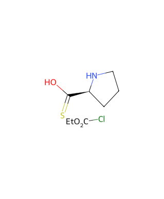 CCOC(=O)Cl.OC(=S)[C@@H]1CCCN1